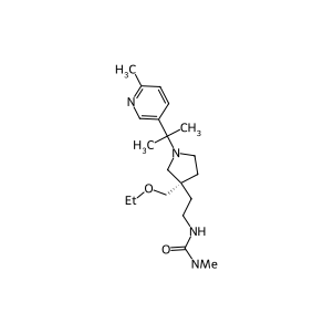 CCOC[C@@]1(CCNC(=O)NC)CCN(C(C)(C)c2ccc(C)nc2)C1